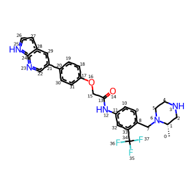 C[C@H]1CNCCN1Cc1ccc(NC(=O)COc2ccc(-c3cnc4[nH]ccc4c3)cc2)cc1C(F)(F)F